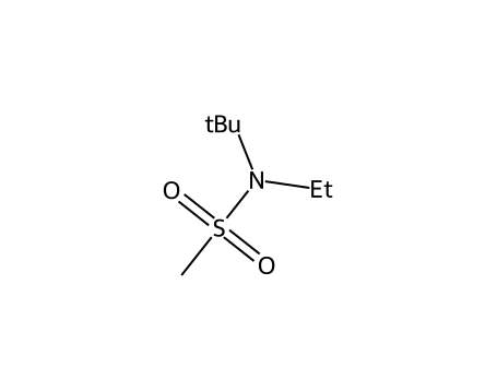 CCN(C(C)(C)C)S(C)(=O)=O